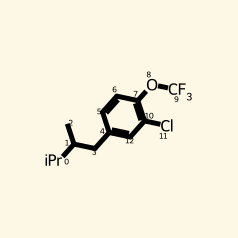 CC(C)C(C)Cc1ccc(OC(F)(F)F)c(Cl)c1